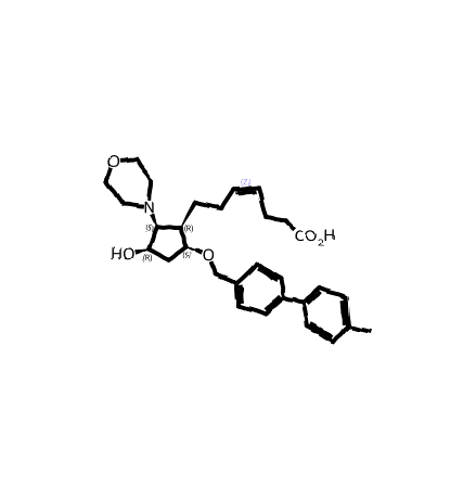 Cc1ccc(-c2ccc(CO[C@H]3C[C@@H](O)[C@@H](N4CCOCC4)[C@H]3CC/C=C\CCC(=O)O)cc2)cc1